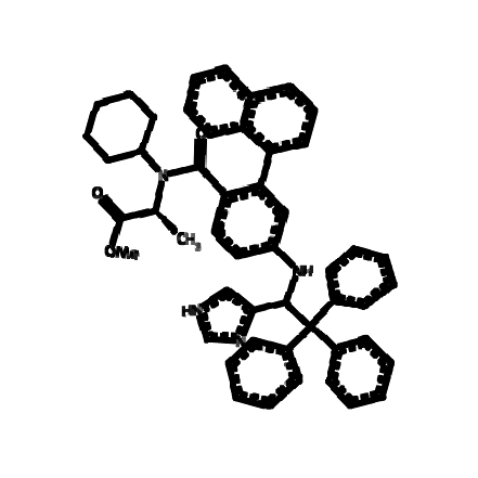 COC(=O)[C@H](C)N(C(=O)c1ccc(NC(c2c[nH]cn2)C(c2ccccc2)(c2ccccc2)c2ccccc2)cc1-c1cccc2ccccc12)C1CCCCC1